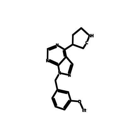 CCOc1cccc(Cn2ncc3c(C4CCNCC4)ncnc32)c1